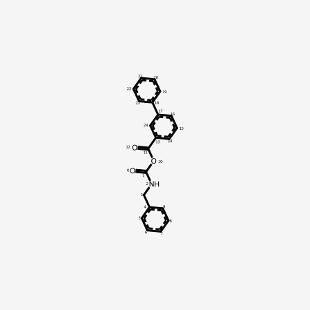 O=C(NCc1ccccc1)OC(=O)c1cccc(-c2ccccc2)c1